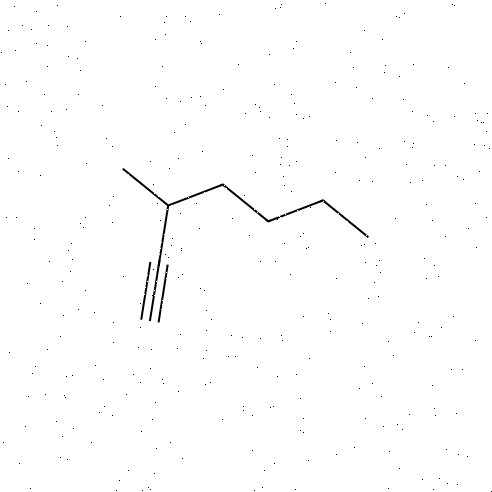 C#CC(C)CCCC